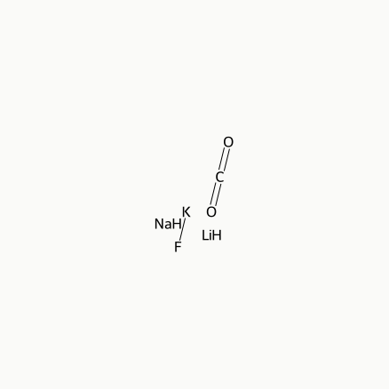 O=C=O.[F][K].[LiH].[NaH]